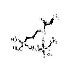 C=CC(=O)OCCC[N+](C)(C)C.COS(=O)(=O)O.[Cl-]